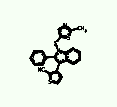 Cc1ncc(Sn2c(-c3ccccc3)c(-c3ccsc3C#N)c3ccccc32)s1